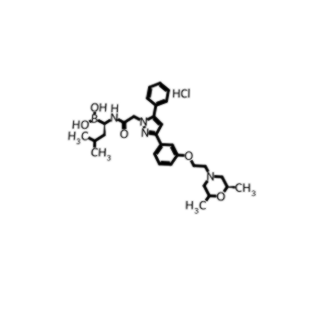 CC(C)C[C@H](NC(=O)Cn1nc(-c2cccc(OCCN3CC(C)O[C@H](C)C3)c2)cc1-c1ccccc1)B(O)O.Cl